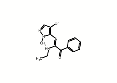 CCNC(=Nc1c(Br)cnn1C)C(=O)c1ccccc1